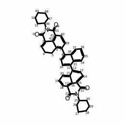 O=C1C2=CCCc3c(-c4ccc(-c5ccc6c7c(cccc57)C(=O)N(C5CCCCC5)C6=O)c5ccccc45)ccc(c32)C(=O)N1C1CCCCC1